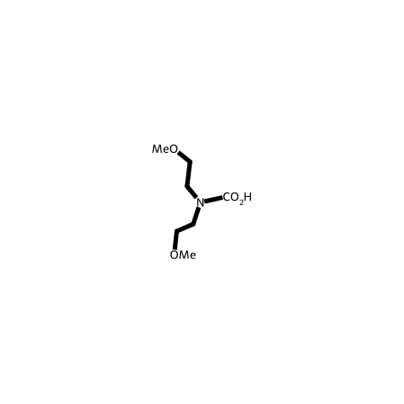 COCCN(CCOC)C(=O)O